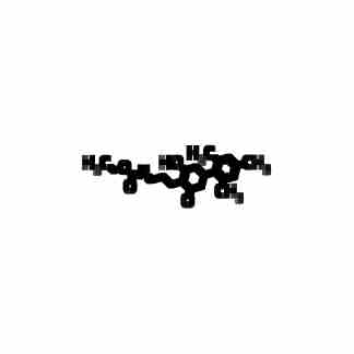 CCOC(=O)N=CCCC1=C(O)CC(c2c(C)cc(C)cc2C)CC1=O